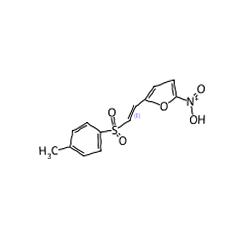 Cc1ccc(S(=O)(=O)/C=C/c2ccc([N+](=O)O)o2)cc1